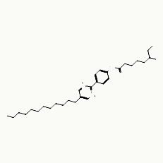 CCCCCCCCCCCCc1cnc(-c2ccc(OC(=O)CCCCC(C)CC)cc2)nc1